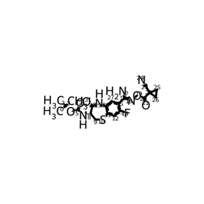 CC(C)(C)OC(=O)N[C@H]1CSc2cc(F)c(/C(N)=N/OC(=O)C3(C#N)CC3)cc2NC1=O